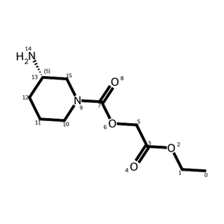 CCOC(=O)COC(=O)N1CCC[C@H](N)C1